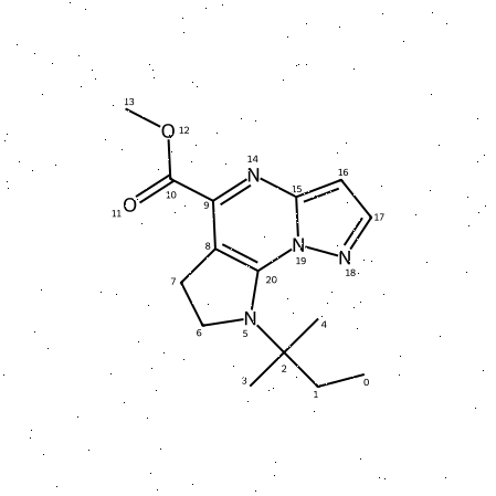 CCC(C)(C)N1CCc2c(C(=O)OC)nc3ccnn3c21